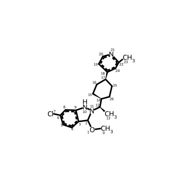 COC1c2ccc(Cl)cc2NN1[C@H](C)[C@H]1CC[C@@H](c2ccnc(C)c2)CC1